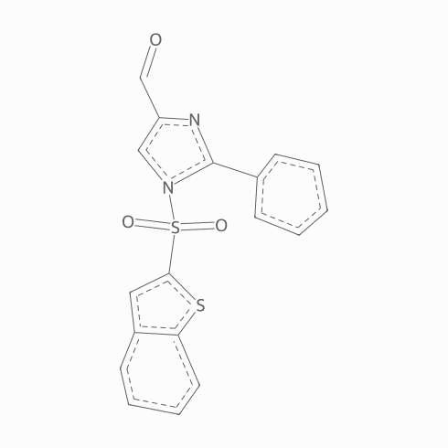 O=Cc1cn(S(=O)(=O)c2cc3ccccc3s2)c(-c2ccccc2)n1